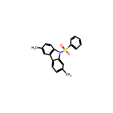 Cc1ccc2c(c1)c1ccc(C)cc1n2S(=O)(=O)c1ccccc1